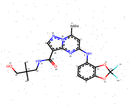 CNc1cc(Nc2cccc3c2OC(F)(F)O3)nc2c(C(=O)NCC(C)(C)CO)cnn12